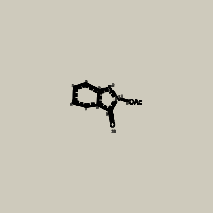 CC(=O)On1sc2ccccc2c1=O